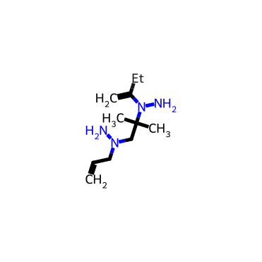 C=CCN(N)CC(C)(C)N(N)C(=C)CC